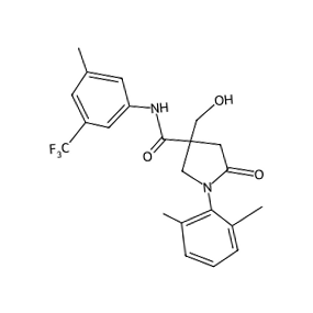 Cc1cc(NC(=O)C2(CO)CC(=O)N(c3c(C)cccc3C)C2)cc(C(F)(F)F)c1